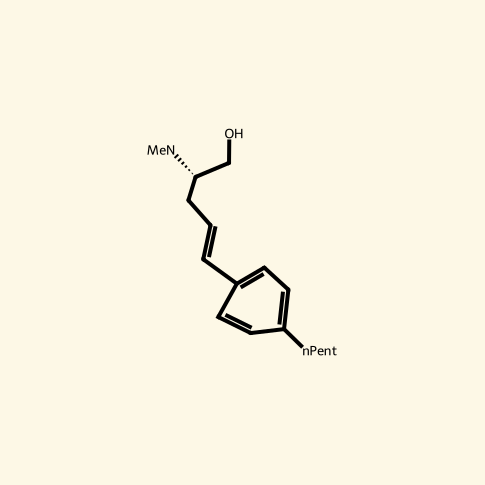 CCCCCc1ccc(/C=C/C[C@@H](CO)NC)cc1